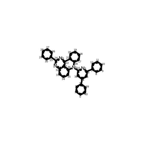 c1ccc(-c2cc(-c3ccccc3)nc(N3c4ccccc4-c4nc(-c5ccccc5)nc5cccc3c45)c2)cc1